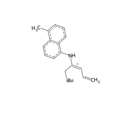 C=C/C=C(\CC(C)CC)Nc1cccc2c(C)cccc12